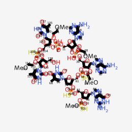 COCCO[C@H]1C(OP(=O)(O)OC[C@H]2OC(n3cnc4c(N)ncnc43)[C@@H](OCCOC)C2OP(=O)(O)OC[C@H]2OC(n3cnc4c(N)ncnc43)[C@@H](OCCOC)C2OP(=O)(S)OC[C@H]2O[C@@H](n3cc(C)c(=O)[nH]c3=O)CC2OP(=O)(S)OC[C@H]2O[C@@H](n3cnc4c(=O)[nH]c(N)nc43)CC2OP(=O)(S)OC)[C@@H](COP(=O)(S)OC2[C@H](OCCOC)C(n3cc(C)c(=O)[nH]c3=O)O[C@@H]2CO)OC1n1cc(C)c(=O)[nH]c1=O